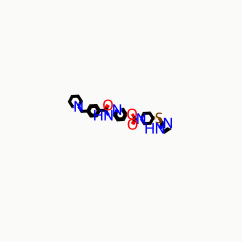 O=C(Nc1ccc(OC(=O)N2CCC(Sc3ncc[nH]3)CC2)cn1)c1ccc(CN2CCCCC2)cc1